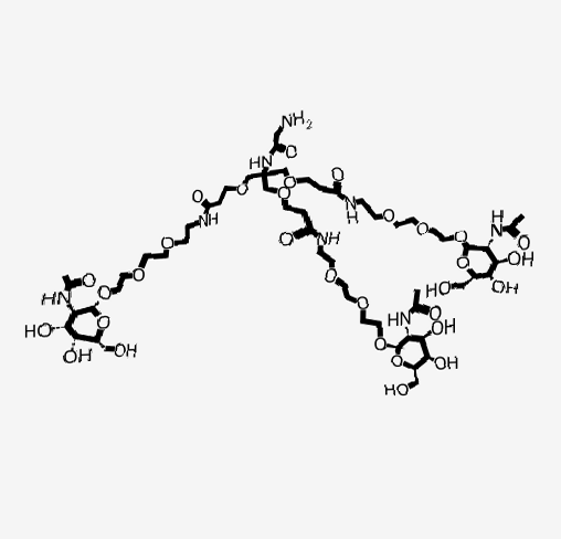 CC(=O)N[C@H]1[C@H](OCCOCCOCCNC(=O)CCOCC(COCCC(=O)NCCOCCOCCOC2O[C@H](CO)[C@H](O)[C@H](O)[C@H]2NC(C)=O)(COCCC(=O)NCCOCCOCCO[C@@H]2O[C@H](CO)[C@H](O)[C@H](O)[C@H]2NC(C)=O)NC(=O)CN)O[C@H](CO)[C@H](O)[C@@H]1O